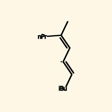 CCC/C(C)=C\[C]=C\C(C)CC